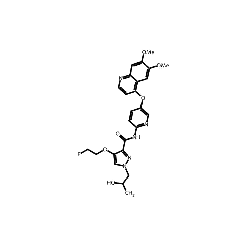 COc1cc2nccc(Oc3ccc(NC(=O)c4nn(CC(C)O)cc4OCCF)nc3)c2cc1OC